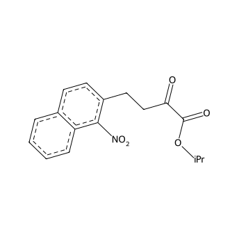 CC(C)OC(=O)C(=O)CCc1ccc2ccccc2c1[N+](=O)[O-]